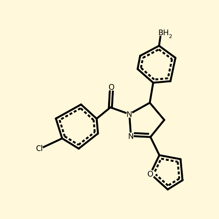 Bc1ccc(C2CC(c3ccco3)=NN2C(=O)c2ccc(Cl)cc2)cc1